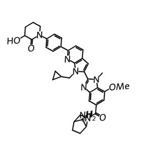 COc1cc(C(=O)N2CC3CCC2[C@@H]3N)cc2nc(-c3cc4ccc(-c5ccc(N6CCCC(O)C6=O)cc5)nc4n3CC3CC3)n(C)c12